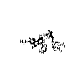 CCN(CC)CCc1csc(Nc2cc(-c3cnc(N)cc3C(F)(F)F)nc(C3CNCCO3)n2)n1